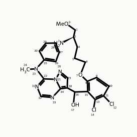 COC[C@H](N)CCCOc1ccc(Cl)c(Cl)c1C(O)c1cnn2c(N(C)c3ccccc3)ncnc12